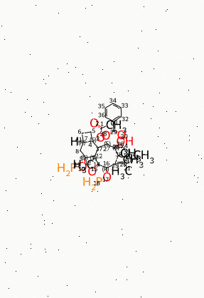 CC(=O)O[C@@]12CC[C@@H]1C[C@H](OP)[C@@]1(C)C(=O)[C@H](OP)C3=C(C)[C@@H](C)C[C@@](O)([C@@H](OC(=O)c4ccccc4)C12)C3(C)C